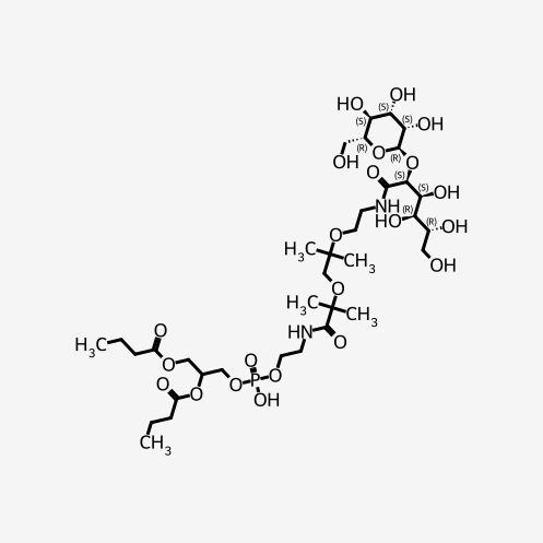 CCCC(=O)OCC(COP(=O)(O)OCCNC(=O)C(C)(C)OCC(C)(C)OCCNC(=O)[C@@H](O[C@H]1O[C@H](CO)[C@@H](O)[C@H](O)[C@@H]1O)[C@@H](O)[C@H](O)[C@H](O)CO)OC(=O)CCC